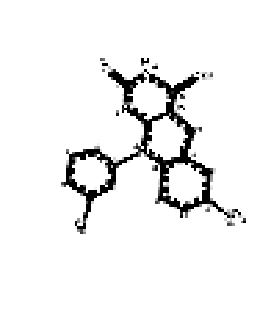 O=c1nc2n(-c3cccc(Cl)c3)c3ccc([N+](=O)[O-])cc3cc-2c(=O)[nH]1